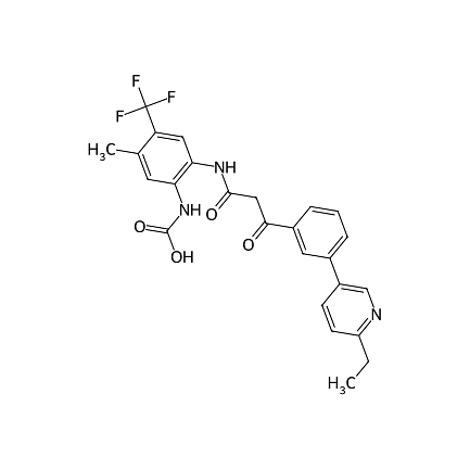 CCc1ccc(-c2cccc(C(=O)CC(=O)Nc3cc(C(F)(F)F)c(C)cc3NC(=O)O)c2)cn1